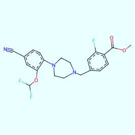 COC(=O)c1ccc(CN2CCN(c3ccc(C#N)cc3OC(F)F)CC2)cc1F